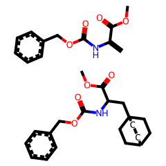 C=C(NC(=O)OCc1ccccc1)C(=O)OC.COC(=O)C(CC12CCC(CC1)CC2)NC(=O)OCc1ccccc1